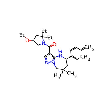 C=C/C=C\C(=C/C)[C@H]1CC(C)(C)Cn2ncc(C(=O)N3CC(OCC)CC3(CC)CC)c2N1